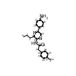 CCCc1nc(-c2ccc(N)cc2)cnc1NC(=O)Cc1ccc(I)cc1